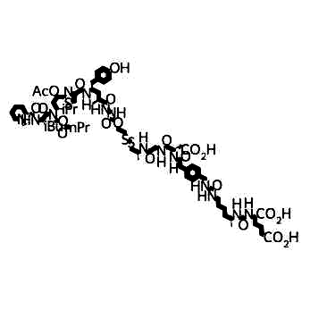 CCCC(=O)OCN(C(=O)[C@@H](NC(=O)[C@H]1CCCCN1C)C(C)CC)[C@H](C[C@@H](OC(C)=O)c1nc(C(=O)N[C@@H](Cc2ccc(O)cc2)C[C@H](C)C(=O)NNC(=O)OCCSSC[C@@H](C)NC(=O)CNC(=O)[C@H](CC(=O)O)NC(=O)Cc2ccc(CNC(=O)NCCCC[C@@H](C)NC(=O)NC(CCCC(=O)O)C(=O)O)cc2)cs1)C(C)C